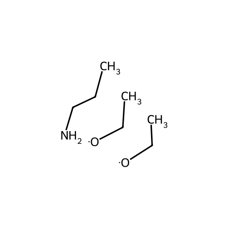 CCCN.CC[O].CC[O]